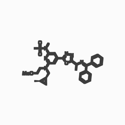 COCCN(C[C@H]1C[C@@H]1C)c1cc(-c2nnc(C(C)N=C(c3ccccc3)c3ccccc3)o2)cc(N(C)S(C)(=O)=O)n1